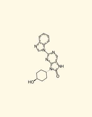 O=c1[nH]c2cnc(-n3cnc4ccccc43)nc2n1[C@H]1CC[C@H](O)CC1